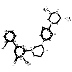 C[C@@H]1CN(c2ccc([C@H]3CN(c4nc(-c5ccncc5F)cc(=O)n4C)CCO3)cc2)C[C@H](C)O1